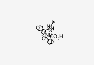 O=C(Nc1sc2c(c1-c1nc(C3CC3)no1)CCOC2)c1cccnc1C(=O)O